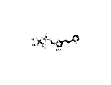 CC(C)(C)OP(=O)([O-])OCn1ccc(C=Cc2cccs2)n1.[Na+]